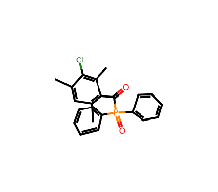 Cc1cc(C)c(C(=O)P(=O)(c2ccccc2)c2ccccc2)c(C)c1Cl